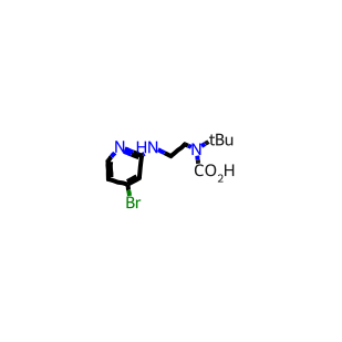 CC(C)(C)N(CCNc1cc(Br)ccn1)C(=O)O